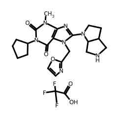 Cn1c(=O)n(C2CCCC2)c(=O)c2c1nc(N1CCC3CNCC31)n2Cc1ncco1.O=C(O)C(F)(F)F